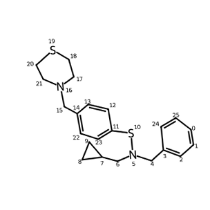 c1ccc(CN(CC2CC2)Sc2ccc(CN3CCSCC3)cc2)cc1